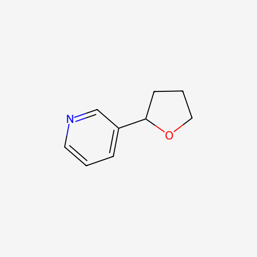 c1cncc(C2CCCO2)c1